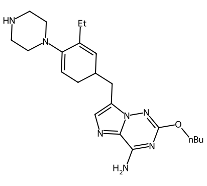 CCCCOc1nc(N)c2ncc(CC3C=C(CC)C(N4CCNCC4)=CC3)n2n1